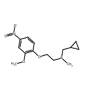 COc1cc([N+](=O)[O-])ccc1OCCN(C)CC1CC1